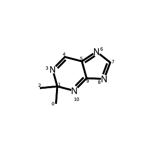 CC1(C)N=CC2=NC=NC2=N1